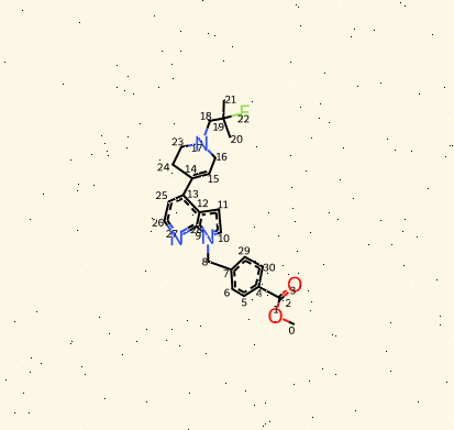 COC(=O)c1ccc(Cn2ccc3c(C4=CCN(CC(C)(C)F)CC4)ccnc32)cc1